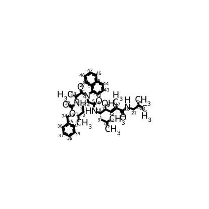 CCCC[C@@H](C(=O)N[C@@H](CC(C)C)[C@@H](O)/C=C(\C)C(=O)NCC(C)C)N(C(=O)[C@H](C)NC(=O)OCc1ccccc1)c1cccc2ccccc12